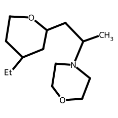 CCC1CCOC(CC(C)N2CCOCC2)C1